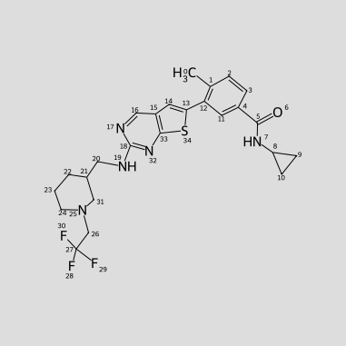 Cc1ccc(C(=O)NC2CC2)cc1-c1cc2cnc(NCC3CCCN(CC(F)(F)F)C3)nc2s1